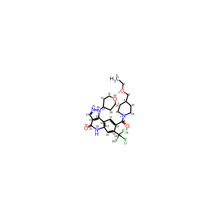 CCOCC1CCN(C(=O)c2cc3c(cc2C(F)(F)F)[nH]c(=O)c2cnn(C4CCOCC4)c23)CC1